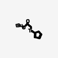 CC(C)(C)OC(=O)[CH2][Ti][C]1=CC=CC1